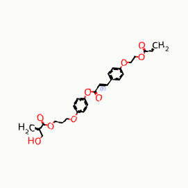 C=CC(=O)OCCOc1ccc(/C=C/C(=O)Oc2ccc(OCCCOC(=O)C(=C)CO)cc2)cc1